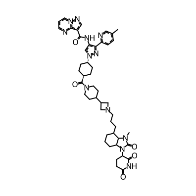 Cc1ccc(-c2nn([C@H]3CC[C@H](C(=O)N4CCC(C5CN(CCCC6CCCC7C6N(C)C(=O)N7C6CCC(=O)NC6=O)C5)CC4)CC3)cc2NC(=O)c2cnn3cccnc23)nc1